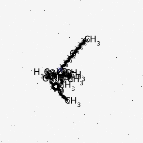 CC#CCOc1ccc(C[C@H](NC(=O)[C@@H](/C=C/CCCCCCOCCCCCCC)[C@@H](CCC)C(=O)OC(C)(C)C)C(=O)OC)cc1